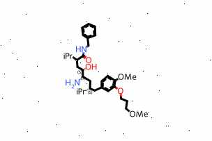 COCCCOc1cc(C[C@@H](C[C@H](N)[C@@H](O)CC(C(=O)NCc2ccccc2)C(C)C)C(C)C)ccc1OC